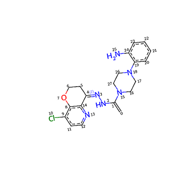 C=C(N/N=C1/CCOc2c(Cl)ccnc21)N1CCN(c2ccccc2N)CC1